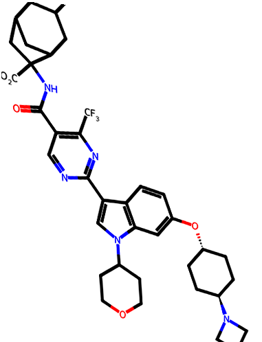 CC1CC2CC(C1)C(NC(=O)c1cnc(-c3cn(C4CCOCC4)c4cc(O[C@H]5CC[C@H](N6CC(F)(F)C6)CC5)ccc34)nc1C(F)(F)F)(C(=O)O)C2